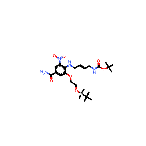 CC(C)(C)OC(=O)NC/C=C/CNc1c(OCCO[Si](C)(C)C(C)(C)C)cc(C(N)=O)cc1[N+](=O)[O-]